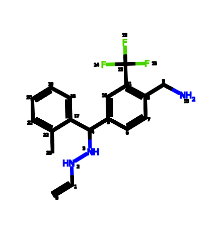 C=CNNC(c1ccc(CN)c(C(F)(F)F)c1)c1ccccc1C